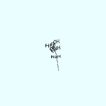 CCCCCCCCCCCCCCCCCC(=O)NC(CC(=O)O)C(=O)O.[NaH]